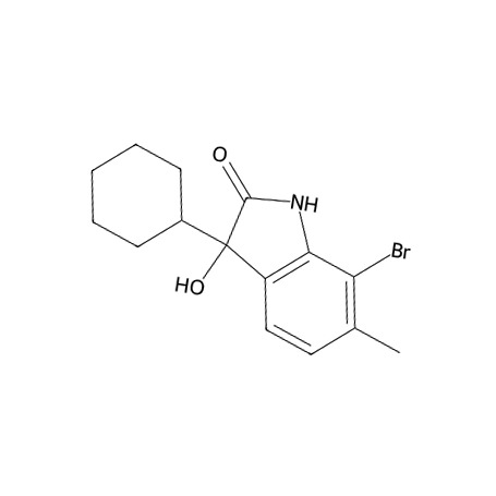 Cc1ccc2c(c1Br)NC(=O)C2(O)C1CCCCC1